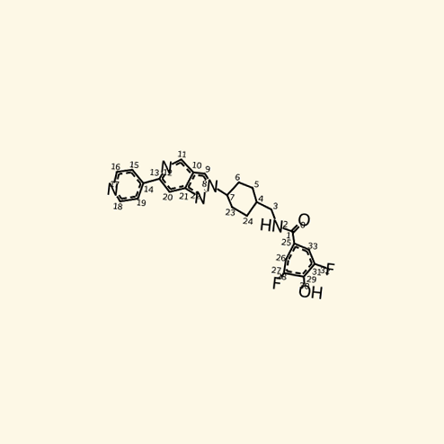 O=C(NCC1CCC(n2cc3cnc(-c4ccncc4)cc3n2)CC1)c1cc(F)c(O)c(F)c1